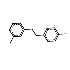 Cc1ccc(CCc2cccc(C)c2)cc1